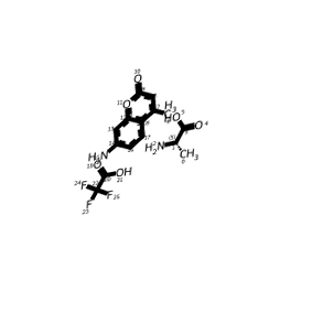 C[C@H](N)C(=O)O.Cc1cc(=O)oc2cc(N)ccc12.O=C(O)C(F)(F)F